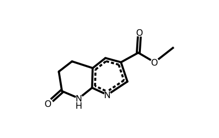 COC(=O)c1cnc2c(c1)CCC(=O)N2